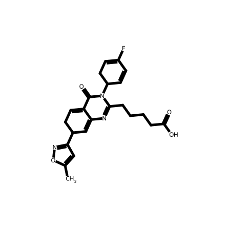 Cc1cc(C2C=c3nc(CCCCC(=O)O)n(C4C=CC(F)=CC4)c(=O)c3=CC2)no1